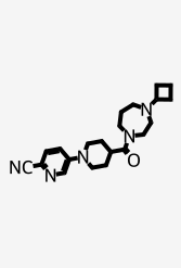 N#Cc1ccc(N2CCC(C(=O)N3CCCN(C4CCC4)CC3)CC2)cn1